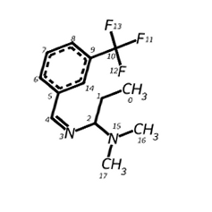 CCC(/N=C\c1cccc(C(F)(F)F)c1)N(C)C